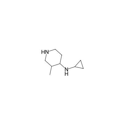 CC1CNCCC1NC1CC1